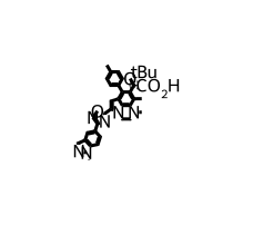 Cc1ccc(-c2c([C@H](OC(C)(C)C)C(=O)O)c(C)c3c4c2cc(-c2nc(-c5ccc6c(cnn6C)c5)no2)n4CCN3C)cc1